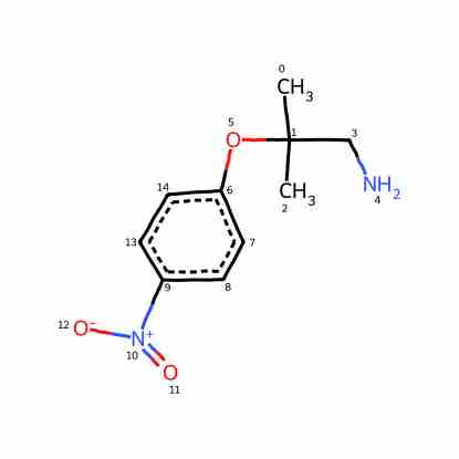 CC(C)(CN)Oc1ccc([N+](=O)[O-])cc1